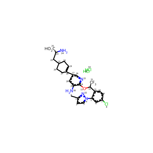 Cc1ccn(-c2cc(Cl)ccc2C(Oc2ncc(C3=CCC(CC(N)C(=O)O)CC3)cc2N)C(F)(F)F)n1.Cl.Cl